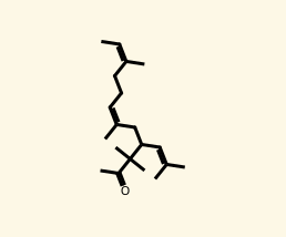 CC=C(C)CCC=C(C)CC(C=C(C)C)C(C)(C)C(C)=O